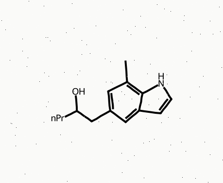 CCCC(O)Cc1cc(C)c2[nH]ccc2c1